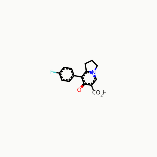 O=C(O)c1cn2c(c(-c3ccc(F)cc3)c1=O)CCC2